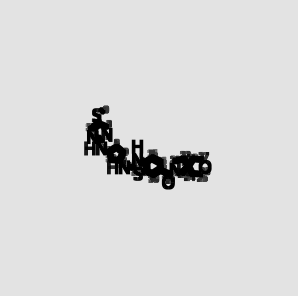 CSc1cnc(N[C@H]2CC[C@H](NC3Nc4ccc(C(=O)N5CCC6(CCOCC6)C5)cc4S3)C2)nc1